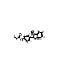 CCC(=O)Oc1ccc(C2Cc3ccccc3[NH+]2[O-])cc1